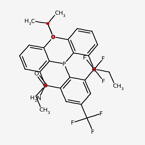 CCOc1cccc(OCC)c1P(c1c(OCC)cccc1OCC)c1c(C(N)=O)cc(C(F)(F)F)cc1C(F)(F)F